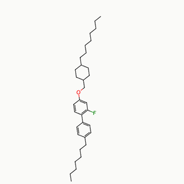 CCCCCCCCC1CCC(COc2ccc(-c3ccc(CCCCCCC)cc3)c(F)c2)CC1